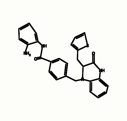 Nc1ccccc1NC(=O)c1ccc(CN2c3ccccc3NC(=O)C2Cc2cccs2)cc1